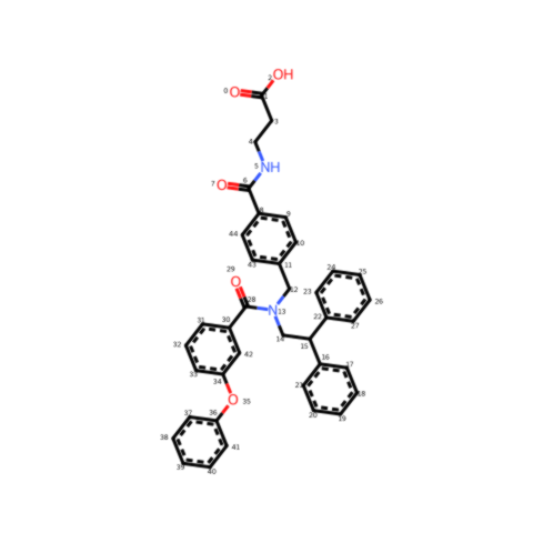 O=C(O)CCNC(=O)c1ccc(CN(CC(c2ccccc2)c2ccccc2)C(=O)c2cccc(Oc3ccccc3)c2)cc1